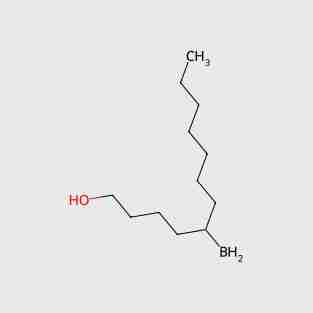 BC(CCCCO)CCCCCCC